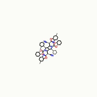 Cc1ccc2nc(/C(C#N)=c3/c4c(C5CCCC5)n(B5Oc6ccccc6O5)/c(=C(/C#N)c5nc6ccc(C)cc6o5)c4c(-c4ccccc4C)n3B3Oc4ccccc4O3)oc2c1